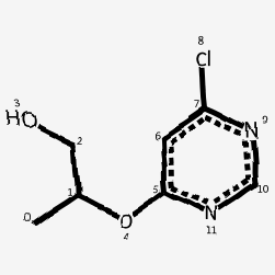 CC(CO)Oc1cc(Cl)ncn1